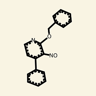 O=Nc1c(-c2ccccc2)ccnc1OCc1ccccc1